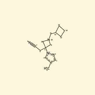 Cc1cnn(C2(CC#N)CN(CC3CCC3)C2)c1